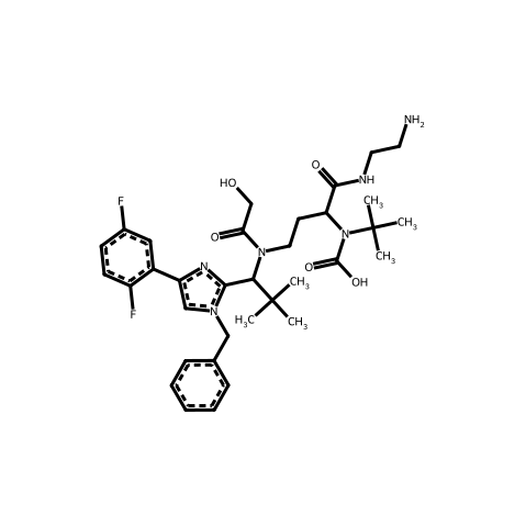 CC(C)(C)C(c1nc(-c2cc(F)ccc2F)cn1Cc1ccccc1)N(CCC(C(=O)NCCN)N(C(=O)O)C(C)(C)C)C(=O)CO